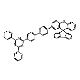 C1=CC(c2nc(-c3ccccc3)nc(-c3ccc(-c4ccc(-c5ccc6c(c5)C5(c7ccccc7O6)c6ccccc6-c6ccccc65)cc4)cc3)n2)=CCC1